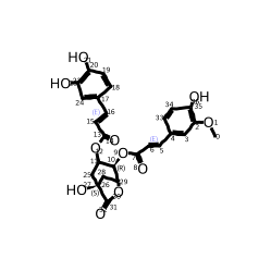 COc1cc(/C=C/C(=O)O[C@@H]2C(OC(=O)/C=C/c3ccc(O)c(O)c3)C[C@]3(O)CC2OC3=O)ccc1O